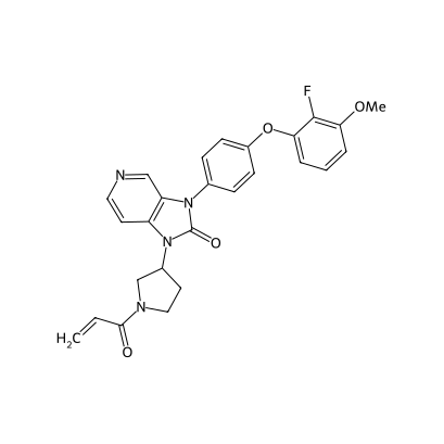 C=CC(=O)N1CCC(n2c(=O)n(-c3ccc(Oc4cccc(OC)c4F)cc3)c3cnccc32)C1